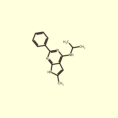 Cc1cc2c(NC(C)C)nc(-c3ccccc3)nc2[nH]1